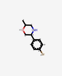 CC1CNC(c2ccc(Br)cc2)CO1